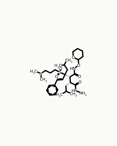 CC(C)C[C@@H](C(=O)NN)[C@@H](C(=O)NOC1CCCCO1)C(/C=C/c1ccccc1)(CC(C)C)S(=O)(=O)CCCN(C)C